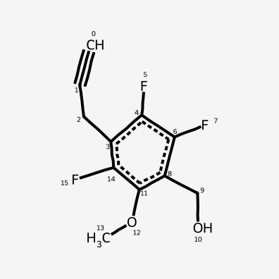 C#CCc1c(F)c(F)c(CO)c(OC)c1F